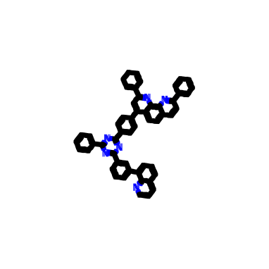 C1=CC(c2cc(-c3ccc(-c4nc(-c5ccccc5)nc(-c5cccc(-c6cccc7cccnc67)c5)n4)cc3)c3ccc4ccc(-c5ccccc5)nc4c3n2)=CCC1